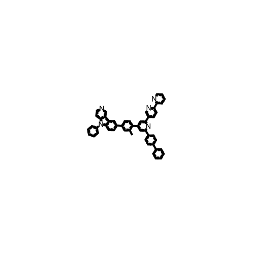 Cc1cc(-c2ccc3c(c2)c2cnccc2n3-c2ccccc2)ccc1-c1cc(-c2ccc(-c3ccccc3)cc2)nc(-c2ccc(-c3ccccn3)nc2)c1